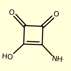 [NH]c1c(O)c(=O)c1=O